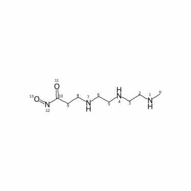 CNCCNCCNCCC(=O)N=O